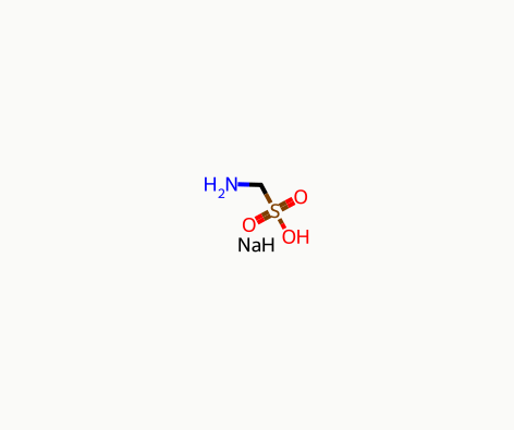 NCS(=O)(=O)O.[NaH]